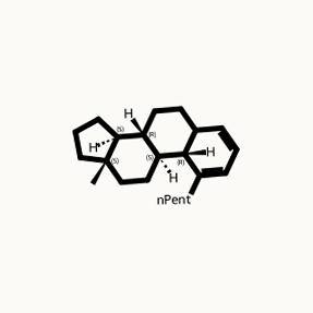 CCCCCC1=CC=CC2CC[C@@H]3[C@H](CC[C@]4(C)CCC[C@@H]34)[C@@H]12